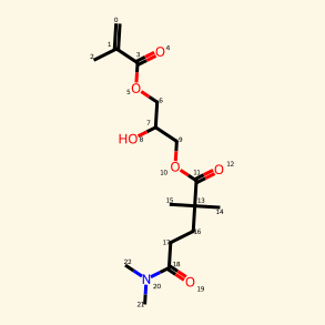 C=C(C)C(=O)OCC(O)COC(=O)C(C)(C)CCC(=O)N(C)C